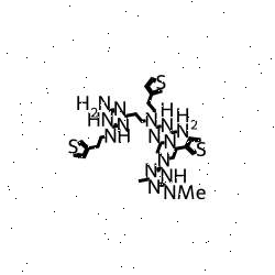 CNC1=NC(C)N=C(N(CCc2ccsc2)CC2N=C(N)NC(N(CCc3ccsc3)CCC3N=C(N)NC(NCCc4ccsc4)=N3)=N2)N1